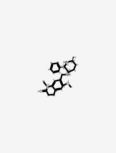 COc1cc2c(cc1CN[C@@H]1CC[C@H](C)N[C@@H]1c1ccccc1)N(C)C(=O)CC2